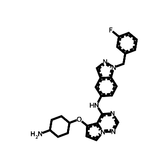 NC1CCC(Oc2ccn3ncnc(Nc4ccc5c(cnn5Cc5cccc(F)c5)c4)c23)CC1